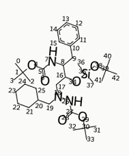 CC(C)(C)OC(=O)NC(Cc1ccccc1)C(CN(CC1CCCCC1)NC(=O)OC(C)(C)C)O[Si](C)(C)OC(C)(C)C